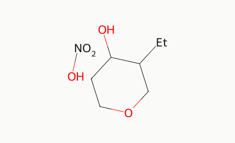 CCC1COCCC1O.O=[N+]([O-])O